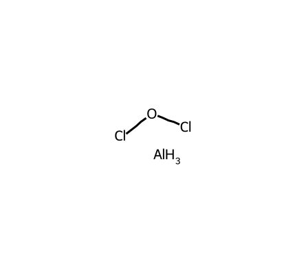 ClOCl.[AlH3]